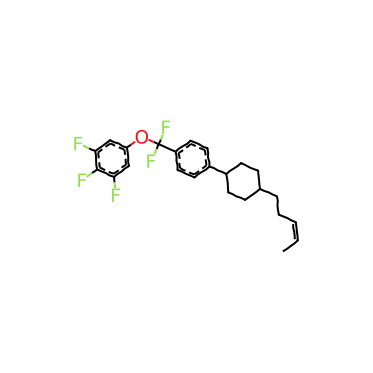 C/C=C\CCC1CCC(c2ccc(C(F)(F)Oc3cc(F)c(F)c(F)c3)cc2)CC1